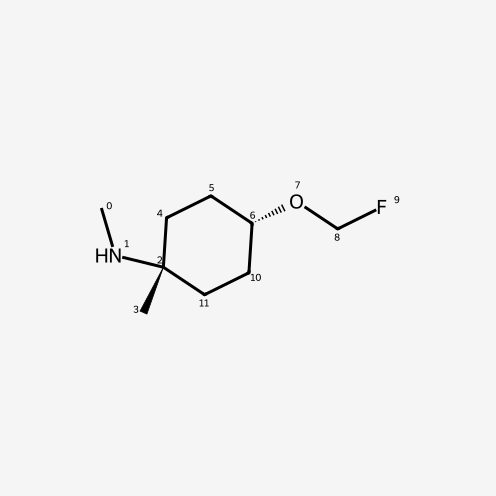 CN[C@]1(C)CC[C@H](OCF)CC1